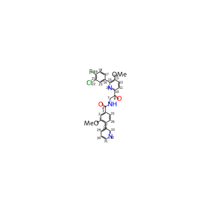 COc1cc(C(=O)NCC(=O)c2ccc(OC)c(-c3ccc(F)c(Cl)c3)n2)ccc1-c1cccnc1